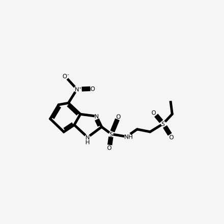 CCS(=O)(=O)CCNS(=O)(=O)c1nc2c([N+](=O)[O-])cccc2[nH]1